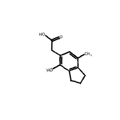 Cc1cc(CC(=O)O)c(O)c2c1CCC2